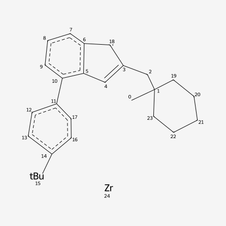 CC1(CC2=Cc3c(cccc3-c3ccc(C(C)(C)C)cc3)[CH]2)CCCCC1.[Zr]